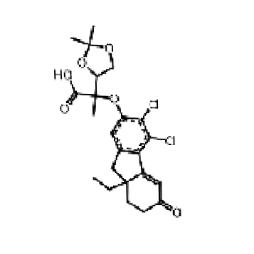 CCC12CCC(=O)C=C1c1c(cc(OC(C)(C(=O)O)C3COC(C)(C)O3)c(Cl)c1Cl)C2